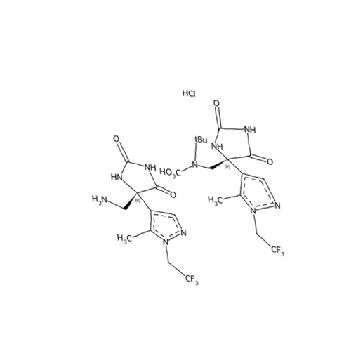 Cc1c([C@]2(CN(C(=O)O)C(C)(C)C)NC(=O)NC2=O)cnn1CC(F)(F)F.Cc1c([C@]2(CN)NC(=O)NC2=O)cnn1CC(F)(F)F.Cl